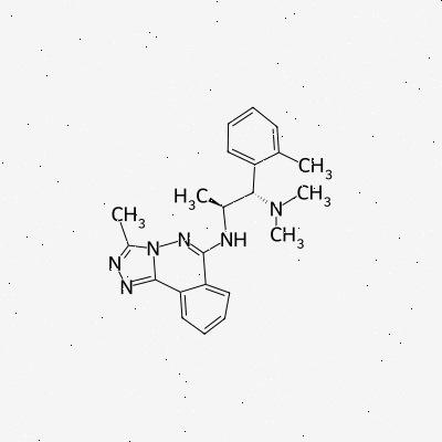 Cc1ccccc1[C@@H]([C@H](C)Nc1nn2c(C)nnc2c2ccccc12)N(C)C